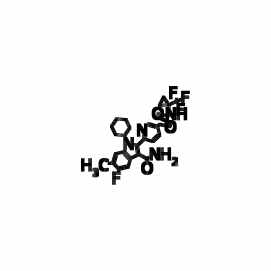 Cc1cc2c(cc1F)c(C(N)=O)c(-c1ccc(S(=O)(=O)NC3(C(F)(F)F)CC3)cn1)n2C1CCCCC1